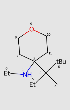 CCNC1(C(C)(CC)C(C)(C)C)CCOCC1